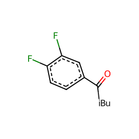 [CH2]CC(C)C(=O)c1ccc(F)c(F)c1